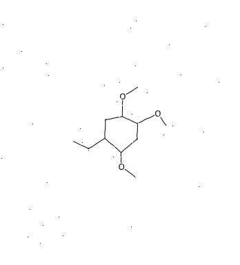 C[CH]C1CC(OC)C(OC)CC1OC